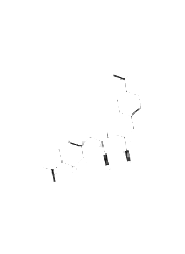 C#CC(CC1=CCC(C(=C)C)CC1)OC(C#C)CC1=CCC(C(=C)C)CC1